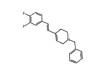 Fc1ccc(C=CC2=CCN(Cc3ccccc3)CC2)cc1F